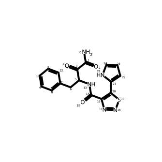 NC(=O)C(=O)C(Cc1ccccc1)NC(=O)c1nnsc1-c1ccc[nH]1